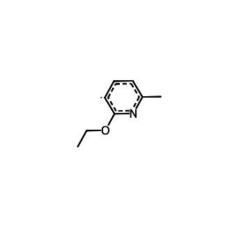 CCOc1[c]ccc(C)n1